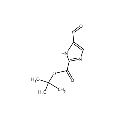 CC(C)(C)OC(=O)c1ncc(C=O)[nH]1